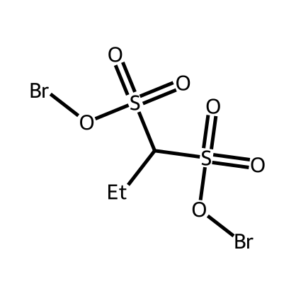 CCC(S(=O)(=O)OBr)S(=O)(=O)OBr